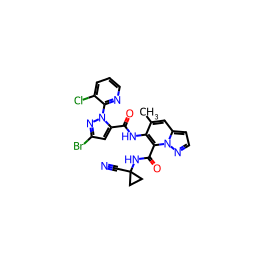 Cc1cc2ccnn2c(C(=O)NC2(C#N)CC2)c1NC(=O)c1cc(Br)nn1-c1ncccc1Cl